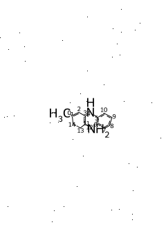 CC1=CC(Nc2ccccc2)=C(N)CC1